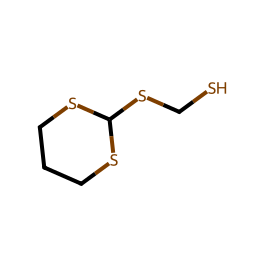 SCSC1SCCCS1